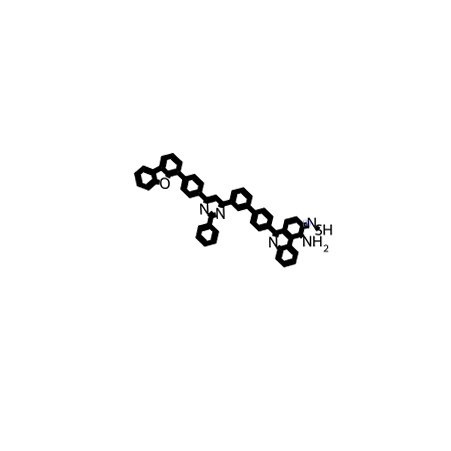 NC1/C(=N\S)C=Cc2c(-c3ccc(-c4cccc(-c5cc(-c6ccc(-c7cccc8c7oc7ccccc78)cc6)nc(-c6ccccc6)n5)c4)cc3)nc3ccccc3c21